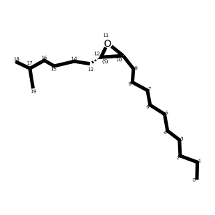 CCCCCCCCCCC1O[C@H]1CCCCC(C)C